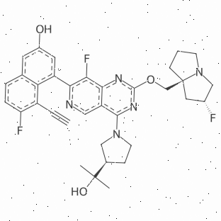 C#Cc1c(F)ccc2cc(O)cc(-c3ncc4c(N5CC[C@@H](C(C)(C)O)C5)nc(OC[C@@]56CCCN5C[C@H](F)C6)nc4c3F)c12